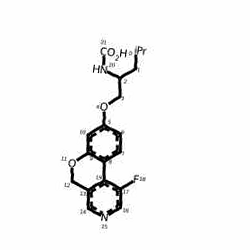 CC(C)CC(COc1ccc2c(c1)OCc1cncc(F)c1-2)NC(=O)O